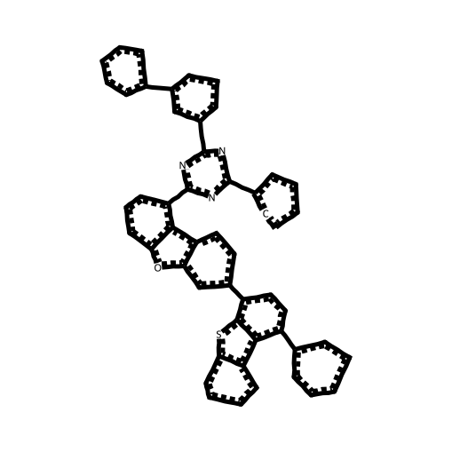 c1ccc(-c2cccc(-c3nc(-c4ccccc4)nc(-c4cccc5oc6cc(-c7ccc(-c8ccccc8)c8c7sc7ccccc78)ccc6c45)n3)c2)cc1